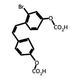 O=C(O)Oc1ccc(/C=C\c2ccc(OC(=O)O)cc2Br)cc1